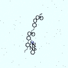 C=CC(=O)OCOc1ccc(CCC(=O)Oc2ccc(-c3ccc(CCC)cc3)c(/C=N/N(C)c3nc4ccccc4s3)c2)cc1